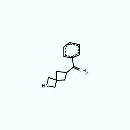 C=C(c1ccccc1)C1CC2(CNC2)C1